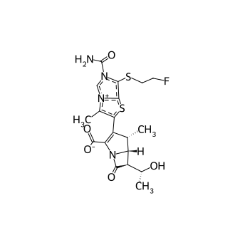 Cc1c(C2=C(C(=O)[O-])N3C(=O)[C@H]([C@@H](C)O)[C@H]3[C@H]2C)sc2c(SCCF)n(C(N)=O)c[n+]12